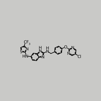 FC(F)(F)c1csc(Nc2ccc3nc(NCc4ccc(Oc5ncc(Cl)cn5)cc4)[nH]c3c2)n1